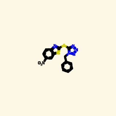 O=[N+]([O-])c1ccc2nc(Sc3nnnn3Cc3ccccc3)sc2c1